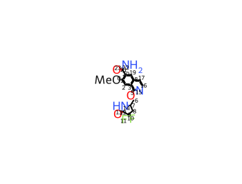 COc1cc2c(OCC3CC(F)(F)C(=O)N3)nccc2cc1C(N)=O